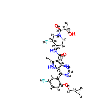 Cc1[nH]c2c(-c3cc(F)ccc3OCC3CC3)ncnc2c1C(=O)N[C@H]1CCN(C(=O)[C@H](C)O)C[C@H]1F